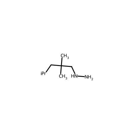 CC(C)CC(C)(C)CNN